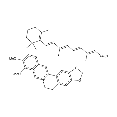 CC1=C(/C=C/C(C)=C/C=C/C(C)=C/C(=O)O)C(C)(C)CCC1.COc1ccc2cc3[n+](cc2c1OC)CCc1cc2c(cc1-3)OCO2